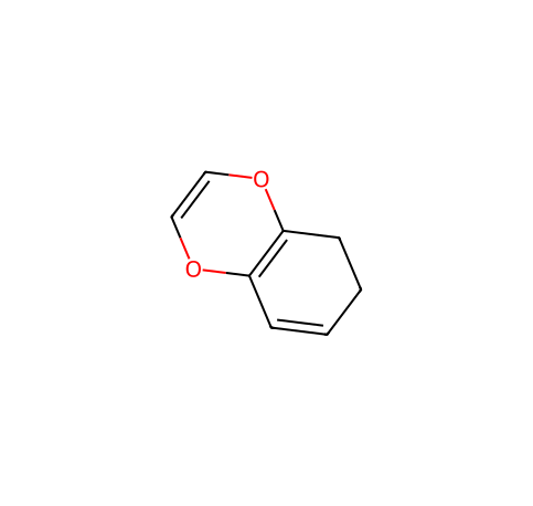 C1=CC2=C(CC1)OC=CO2